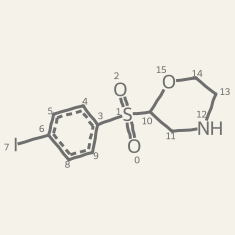 O=S(=O)(c1ccc(I)cc1)C1CNCCO1